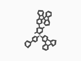 Cc1cc(N(c2ccc(-c3ccccc3)cc2)c2ccc3c4ccccc4c4ccccc4c3c2)c(C)cc1-c1ccc2c(c1)C1(c3ccccc3-c3ccccc31)c1ccccc1-2